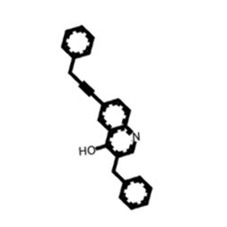 Oc1c(Cc2ccccc2)cnc2ccc(C#CCc3ccccc3)cc12